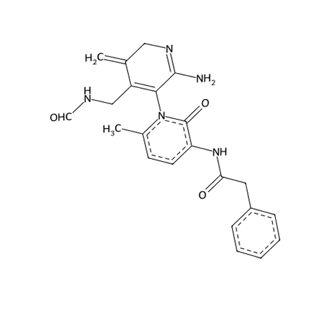 C=C1CN=C(N)C(n2c(C)ccc(NC(=O)Cc3ccccc3)c2=O)=C1CNC=O